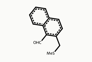 CSCc1ccc2ccccc2c1C=O